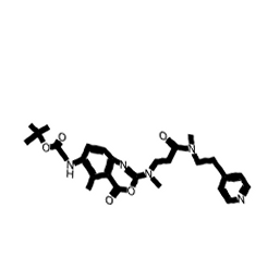 Cc1c(NC(=O)OC(C)(C)C)ccc2nc(N(C)CCC(=O)N(C)CCc3ccncc3)oc(=O)c12